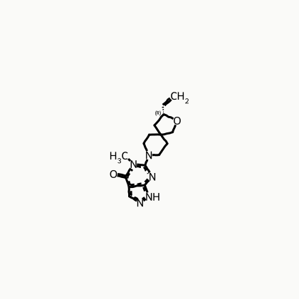 C=C[C@H]1CC2(CCN(c3nc4[nH]ncc4c(=O)n3C)CC2)CO1